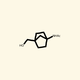 CC(=O)NC12CCC(CO)(CC1)C2